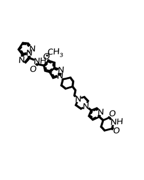 COc1cc2nn(C3CCC(CCN4CCN(c5ccc(C6CCC(=O)NC6=O)nc5)CC4)CC3)cc2cc1C(=O)Nc1cnc2cccnn12